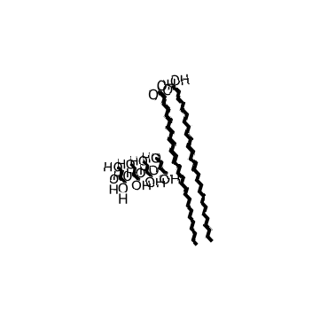 CCCCCCCCCCCCCCCCCCCCCCCCCCCC(=O)O.CCCCCCCCCCCCCCCCCCCCCCCCCCCC(=O)O.OCC(O)CO.OCC(O)CO.OCC(O)CO.OCC(O)CO